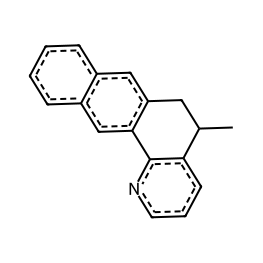 CC1Cc2cc3ccccc3cc2-c2ncccc21